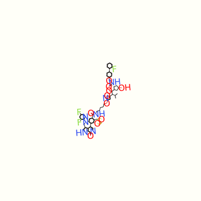 CC(C)C(C(=O)C1C[C@H](O)C[C@H]1C(=O)NOc1ccc(-c2ccccc2F)cc1)c1cc(OCCCCCNC(=O)c2cc3c(cc2CS(C)(=O)=O)-c2cn(C)c(=O)c4[nH]cc(c24)CN3c2ncc(F)cc2F)no1